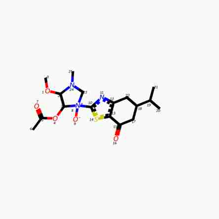 COC1C(OC(C)=O)[N+]([O-])(c2nc3c(s2)C(=O)CC(C(C)C)C3)CN1C